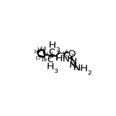 CC(C)(CC[C@H]1COC(N=NN)N1)c1ccccc1